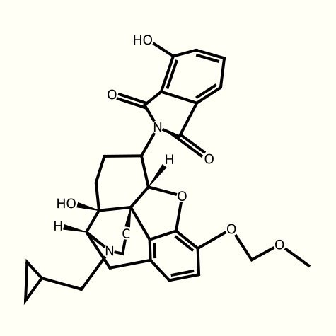 COCOc1ccc2c3c1O[C@H]1C(N4C(=O)c5cccc(O)c5C4=O)CC[C@@]4(O)[C@@H](C2)N(CC2CC2)CC[C@]314